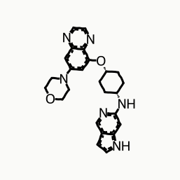 c1cnc2c(O[C@H]3CC[C@@H](Nc4cc5[nH]ccc5cn4)CC3)cc(N3CCOCC3)cc2n1